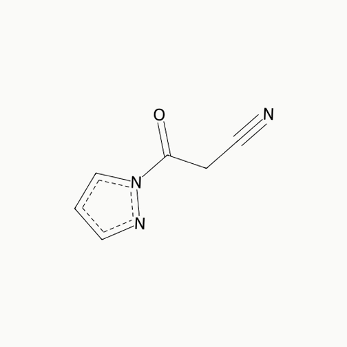 N#CCC(=O)n1cccn1